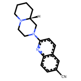 N#Cc1ccc2nc(N3CCN4CCCC[C@@H]4C3)ccc2c1